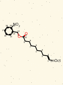 CCCCCCCC/C=C/CCCCCCCC(=O)OCc1ccccc1[N+](=O)[O-]